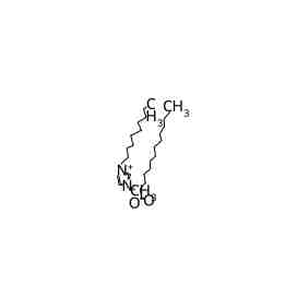 CCCCCCCCCCCCCC(=O)[O-].CCCCCCCCCC[n+]1ccn(C)c1